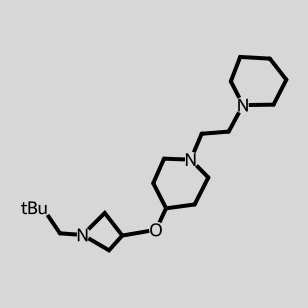 CC(C)(C)CN1CC(OC2CCN(CCN3CCCCC3)CC2)C1